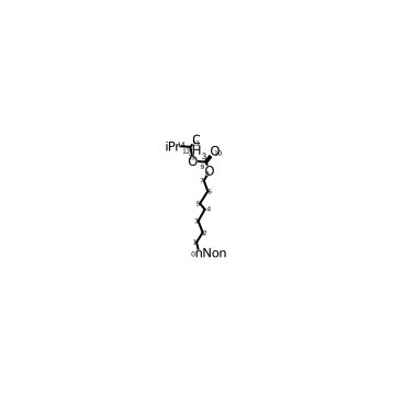 CCCCCCCCCCCCCCCCOC(=O)OC(C)C(C)C